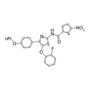 CCCOc1ccc(-c2nc(NC(=O)c3ccc([N+](=O)[O-])s3)sc2Oc2ccccc2F)cc1